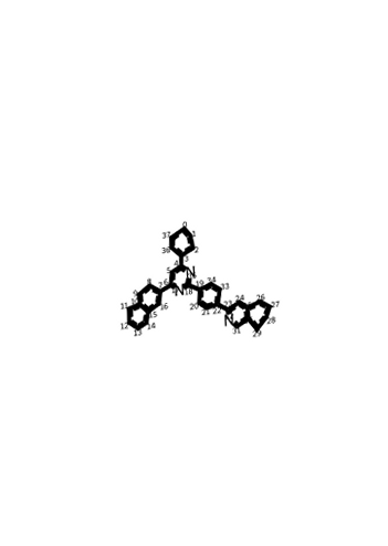 c1ccc(-c2cc(-c3ccc4ccccc4c3)nc(-c3ccc(-c4cc5ccccc5cn4)cc3)n2)cc1